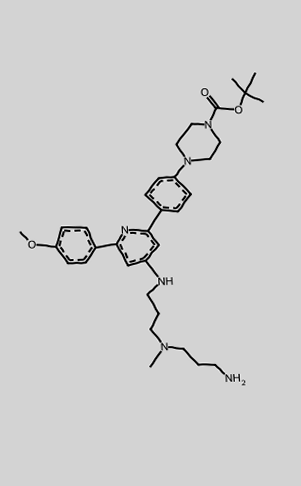 COc1ccc(-c2cc(NCCCN(C)CCCN)cc(-c3ccc(N4CCN(C(=O)OC(C)(C)C)CC4)cc3)n2)cc1